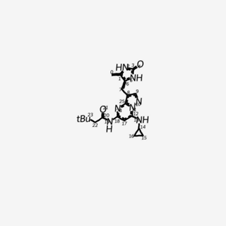 C=c1[nH]c(=O)[nH]/c1=C\c1cnn2c(NC3CC3)cc(NC(=O)CC(C)(C)C)nc12